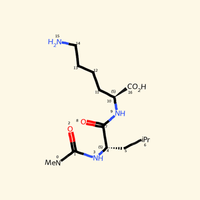 CNC(=O)N[C@@H](CC(C)C)C(=O)N[C@@H](CCCCN)C(=O)O